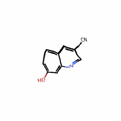 N#Cc1cnc2cc(O)ccc2c1